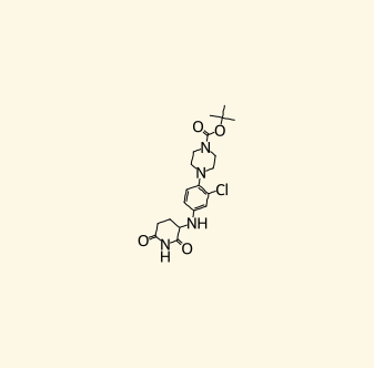 CC(C)(C)OC(=O)N1CCN(c2ccc(NC3CCC(=O)NC3=O)cc2Cl)CC1